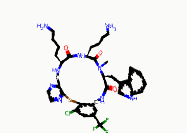 CN1C(=O)[C@H](CCCCN)NC(=O)[C@H](CCCCN)NCc2nccnc2Sc2c(Cl)cc(C(F)(F)F)cc2CNC(=O)[C@@H]1Cc1c[nH]c2ccccc12